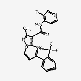 Cc1nn2ccc(-c3ccccc3C(F)(F)F)nc2c1C(=O)Nc1ccncc1F